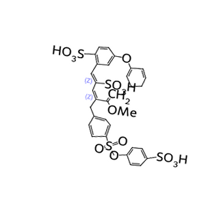 C=C(OC)/C(=C\C(=C\c1cc(OC2=CCCC=C2)ccc1S(=O)(=O)O)S(=O)(=O)O)Cc1ccc(S(=O)(=O)Oc2ccc(S(=O)(=O)O)cc2)cc1